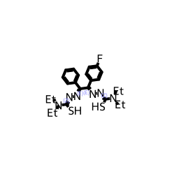 CCN(CC)/C(S)=N/N=C(/C(=N/N=C(\S)N(CC)CC)c1ccc(F)cc1)c1ccccc1